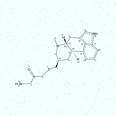 CN1C[C@H](CSCC(=O)CN)C[C@@H]2c3cccc4[nH]cc(c34)C[C@H]21